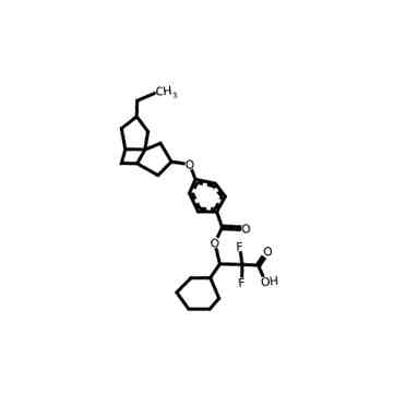 CCC1CC2CC3CC(Oc4ccc(C(=O)OC(C5CCCCC5)C(F)(F)C(=O)O)cc4)CC23C1